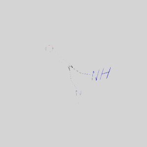 O=C1[N]N1